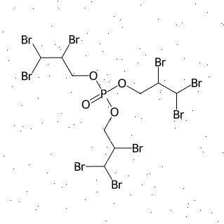 O=P(OCC(Br)C(Br)Br)(OCC(Br)C(Br)Br)OCC(Br)C(Br)Br